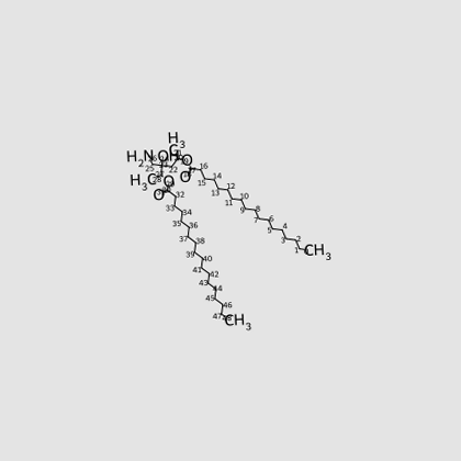 CCCCCCCCCCCCCCCCCC(=O)OC(C)CC(O)(CN)C(C)OC(=O)CCCCCCCCCCCCCCCCC